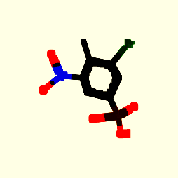 Cc1c(Br)cc(S(=O)(=O)O)cc1[N+](=O)[O-]